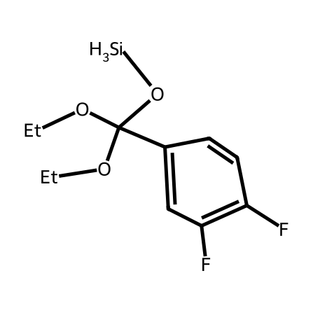 CCOC(O[SiH3])(OCC)c1ccc(F)c(F)c1